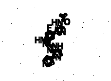 CC(C)C(=O)Nc1cncc(-c2cc3c(-c4nc5c(-c6ccncc6)nccc5[nH]4)n[nH]c3cc2F)c1